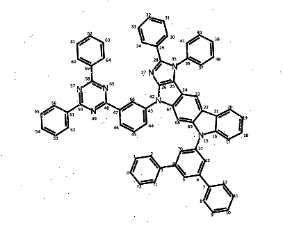 c1ccc(-c2cc(-c3ccccc3)cc(-n3c4ccccc4c4cc5c6c(nc(-c7ccccc7)n6-c6ccccc6)n(-c6cccc(-c7nc(-c8ccccc8)nc(-c8ccccc8)n7)c6)c5cc43)c2)cc1